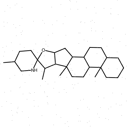 CC1CCC2(NC1)OC1CC3C4CCC5CCCCC5(C)C4CCC3(C)C1C2C